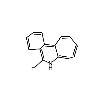 FC1=c2ccccc2=C2C=CC=CC=C2N1